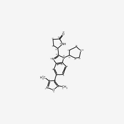 Cc1noc(C)c1-c1ccc2c(c1)nc(C1CCC(=O)N1)n2C1CCSCC1